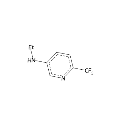 [CH2]CNc1ccc(C(F)(F)F)nc1